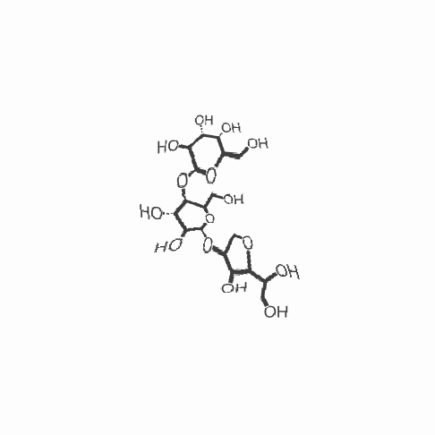 OCC(O)C1OCC(O[C@@H]2OC(CO)[C@H](O[C@@H]3OC(CO)[C@@H](O)[C@@H](O)C3O)[C@@H](O)C2O)C1O